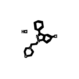 Cl.Clc1ccc2c(c1)c(-c1ccccc1)nn2CCN1CCOCC1